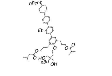 C=C(C)CC(=O)OCCCc1cc(-c2ccc(-c3ccc(C4CCC(CCCCC)CC4)cc3)c(CC)c2)cc(CCCOC(=O)C(=C)C)c1OCCC(CO)(CO)CCCC